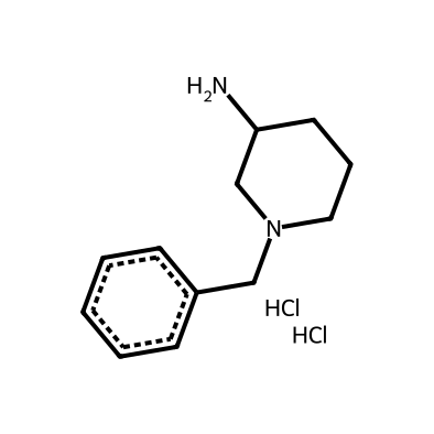 Cl.Cl.NC1CCCN(Cc2ccccc2)C1